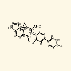 Cc1ccc(-c2ccc([C@@H]([C@H](C=O)C3CC3)N(C)c3ccc4[nH]cnc4c3)c(C)n2)nn1